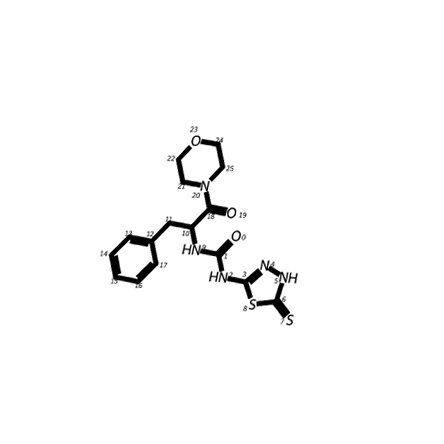 O=C(Nc1n[nH]c(=S)s1)NC(Cc1ccccc1)C(=O)N1CCOCC1